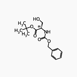 CC(C)(C)OC(=O)[C@@H](CO)NC(=O)OCc1ccccc1